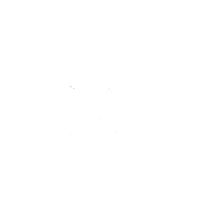 CC(=O)c1ccc2c(c1)/C(=C(/NC1CCSCC1)c1ccccc1)C(=O)N2